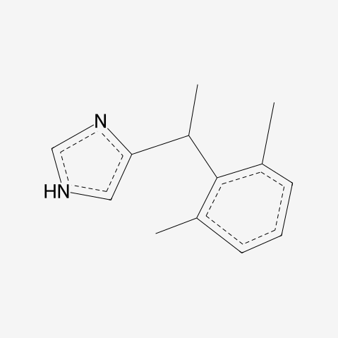 Cc1cccc(C)c1C(C)c1c[nH]cn1